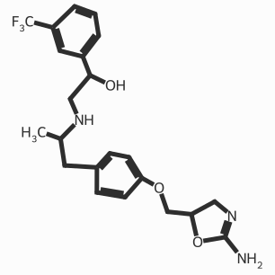 CC(Cc1ccc(OCC2CN=C(N)O2)cc1)NCC(O)c1cccc(C(F)(F)F)c1